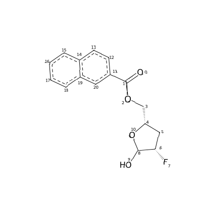 O=C(OC[C@@H]1C[C@H](F)C(O)O1)c1ccc2ccccc2c1